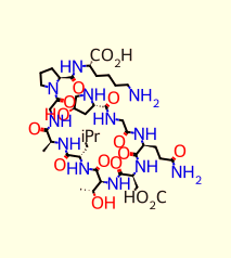 CC(C)C[C@H](NC(=O)[C@@H](NC(=O)[C@H](CC(=O)O)NC(=O)[C@H](CCC(N)=O)NC(=O)CNC(=O)[C@@H]1C[C@@H](O)CN1)[C@@H](C)O)C(=O)N[C@@H](C)C(=O)NCC(=O)N1CCC[C@H]1C(=O)N[C@@H](CCCCN)C(=O)O